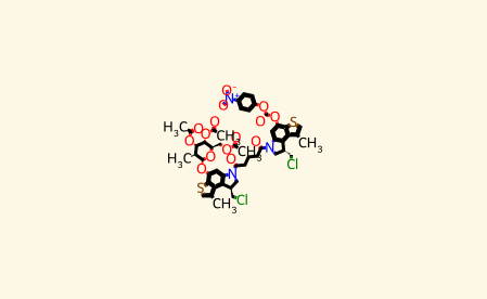 CC(=O)OC[C@H]1O[C@@H](Oc2cc3c(c4c(C)csc24)[C@H](CCl)CN3C(=O)CCCC(=O)N2C[C@@H](CCl)c3c2cc(OC(=O)Oc2ccc([N+](=O)[O-])cc2)c2scc(C)c32)[C@H](C)[C@@H](OC(C)=O)[C@@H]1OC(C)=O